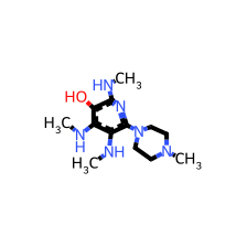 CNc1nc(N2CCN(C)CC2)c(NC)c(NC)c1O